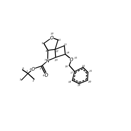 CC(C)(C)OC(=O)N1C2COCC23CC(OCc2ccccc2)C13